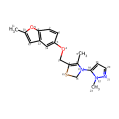 CC1=C(COc2ccc3oc(C)cc3c2)SCN1c1ccnn1C